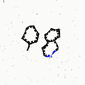 [CH2]c1ccccc1.c1ccc2cnccc2c1